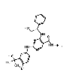 CC(C)(O)c1cc(Nc2ncc(C(=O)NN)c(N[C@H](CO)c3ccccc3)n2)ccc1Br